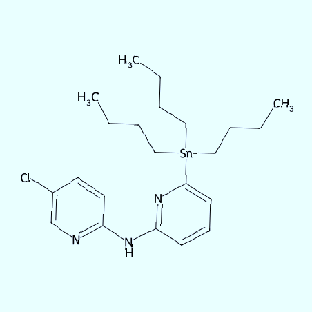 CCC[CH2][Sn]([CH2]CCC)([CH2]CCC)[c]1cccc(Nc2ccc(Cl)cn2)n1